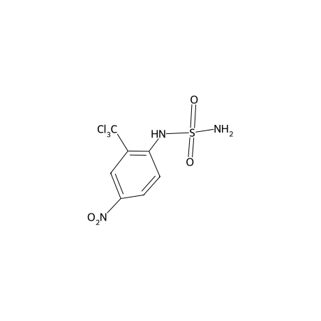 NS(=O)(=O)Nc1ccc([N+](=O)[O-])cc1C(Cl)(Cl)Cl